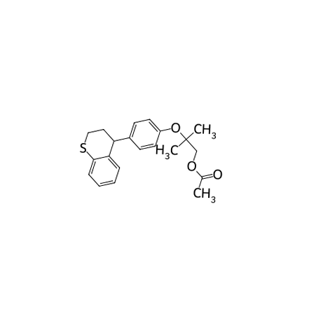 CC(=O)OCC(C)(C)Oc1ccc(C2CCSc3ccccc32)cc1